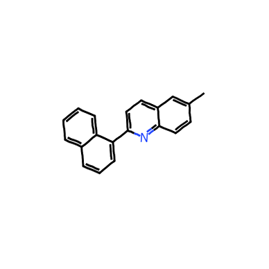 Cc1ccc2nc(-c3cccc4ccccc34)ccc2c1